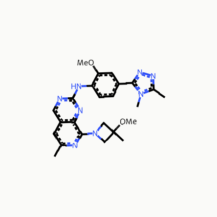 COc1cc(-c2nnc(C)n2C)ccc1Nc1ncc2cc(C)nc(N3CC(C)(OC)C3)c2n1